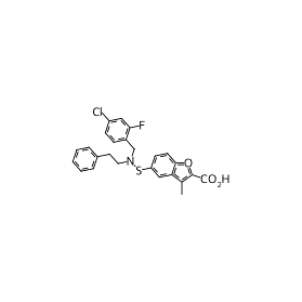 Cc1c(C(=O)O)oc2ccc(SN(CCc3ccccc3)Cc3ccc(Cl)cc3F)cc12